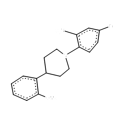 CCc1ccc(N2CCC(c3ccccc3OC)CC2)c([N+](=O)[O-])c1